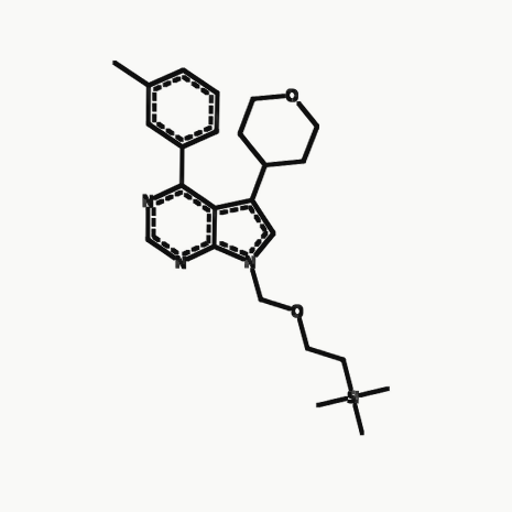 Cc1cccc(-c2ncnc3c2c(C2CCOCC2)cn3COCC[Si](C)(C)C)c1